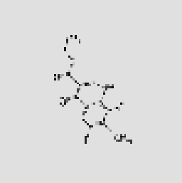 CCOC(=O)c1c[nH]c2c(F)c(C)c(F)cc2c1=O